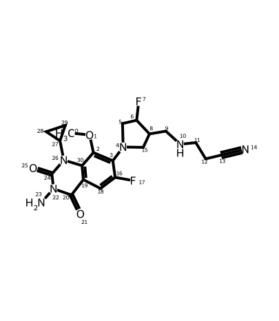 COc1c(N2CC(F)C(CNCCC#N)C2)c(F)cc2c(=O)n(N)c(=O)n(C3CC3)c12